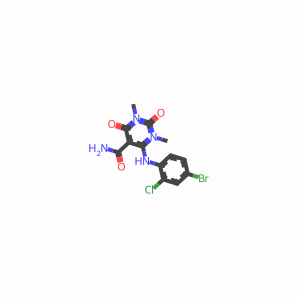 Cn1c(Nc2ccc(Br)cc2Cl)c(C(N)=O)c(=O)n(C)c1=O